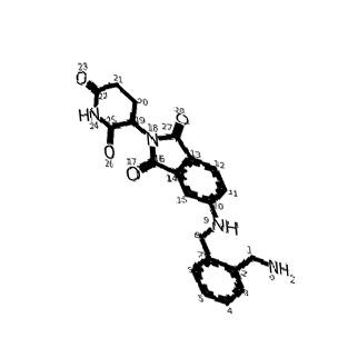 NCc1ccccc1CNc1ccc2c(c1)C(=O)N(C1CCC(=O)NC1=O)C2=O